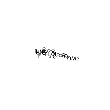 COCCOCOc1ccc2cc(C(=O)N(C)Cc3cccc(-c4ccc(Nc5ccccc5C(=O)NCc5cc(F)ccc5F)cc4)c3)ccc2c1